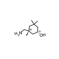 CC1(C)C[C@H](O)C[C@](C)(CN)C1